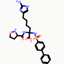 Nc1nc(CCCCC(NC(=O)C2CCON2)(NS(=O)(=O)c2ccc(-c3ccccc3)cc2)C(=O)O)c[nH]1